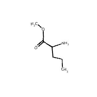 [CH2]OC(=O)C(N)CCC